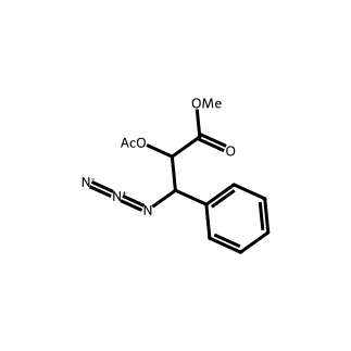 COC(=O)C(OC(C)=O)C(N=[N+]=[N-])c1ccccc1